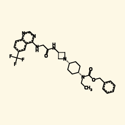 CCN(C(=O)OCc1ccccc1)[C@H]1CC[C@@H](N2CC(NC(=O)CNc3ncnc4ccc(C(F)(F)F)cc34)C2)CC1